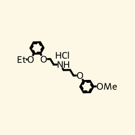 CCOc1ccccc1OCCNCCCOc1cccc(OC)c1.Cl